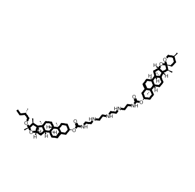 CC[C@H](C)CO[C@@]1(C)O[C@H]2C[C@H]3[C@@H]4CC=C5C[C@@H](OC(=O)NCCNCCNCCNCCNC(=O)O[C@H]6CC[C@@]7(C)C(=CC[C@H]8[C@@H]9C[C@@H]%10O[C@@]%11(CC[C@H](C)CO%11)[C@@H](C)[C@@H]%10[C@@]9(C)CC[C@@H]87)C6)CC[C@]5(C)[C@H]4CC[C@]3(C)[C@H]2[C@@H]1C